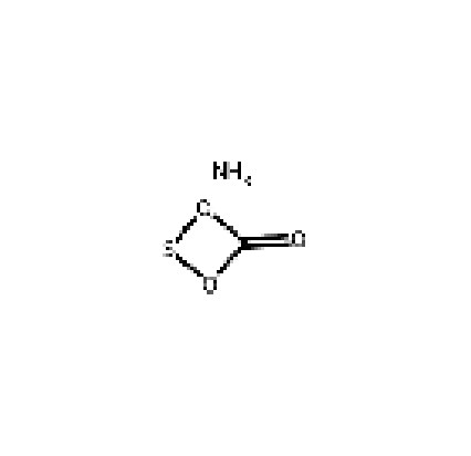 N.O=c1oso1